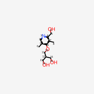 Cc1cnc(CO)c(C)c1OCC(CO)CO